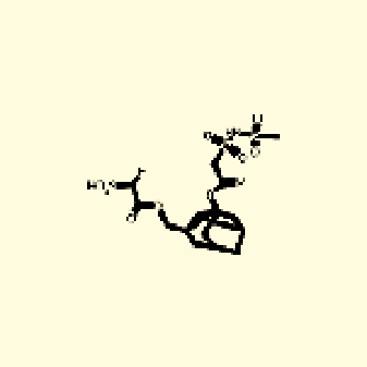 CS(=O)(=O)NS(=O)(=O)CC(=O)OC12CC3CC(CC(COC(=O)C(F)S(=O)(=O)O)(C3)C1)C2